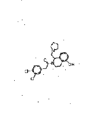 O=C(Cc1ccc(Cl)c(Cl)c1)N1CCc2c(O)cccc2C1CN1CCCC1